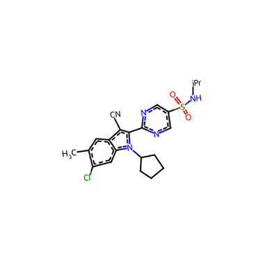 Cc1cc2c(C#N)c(-c3ncc(S(=O)(=O)NC(C)C)cn3)n(C3CCCC3)c2cc1Cl